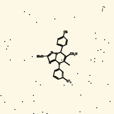 COc1nc2n(n1)C(c1ccc(C#N)cc1)C(C(=O)O)=C(C)N2c1cccc(C(F)(F)F)c1